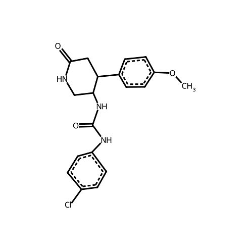 COc1ccc(C2CC(=O)NCC2NC(=O)Nc2ccc(Cl)cc2)cc1